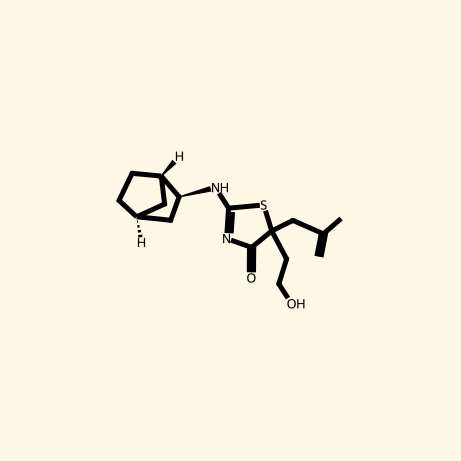 C=C(C)CC1(CCO)SC(N[C@H]2C[C@H]3CC[C@H]2C3)=NC1=O